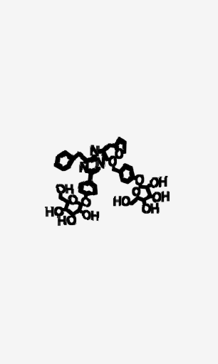 OCC1OC(Oc2ccc(COc3c(Cc4ccco4)nc4c(Cc5ccccc5)nc(-c5ccc(OC6OC(CO)C(O)C(O)C6O)cc5)cn34)cc2)C(O)C(O)C1O